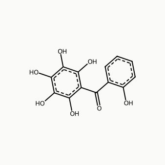 O=C(c1ccccc1O)c1c(O)c(O)c(O)c(O)c1O